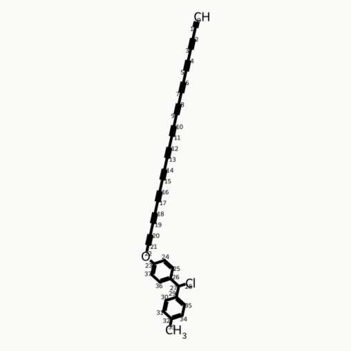 C#CC#CC#CC#CC#CC#CC#CC#CC#CC#CC#COc1ccc(C(Cl)c2ccc(C)cc2)cc1